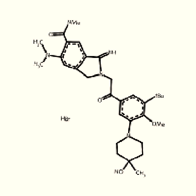 Br.CNC(=O)c1cc2c(cc1N(C)C)CN(CC(=O)c1cc(N3CCC(C)(O)CC3)c(OC)c(C(C)(C)C)c1)C2=N